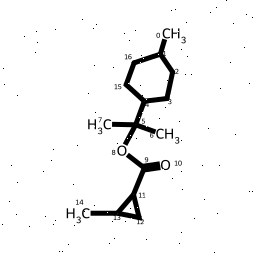 CC1CCC(C(C)(C)OC(=O)C2CC2C)CC1